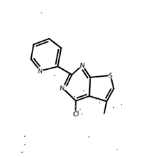 Cc1csc2nc(-c3ccccn3)nc(Cl)c12